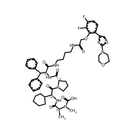 C[C@@H](C(=O)N[C@H](C(=O)N1CCC[C@H]1C(=O)N[C@H](C(=O)NCCCCNC(=O)COc1c(-c2csc(N3CCOCC3)n2)ccc(F)c1F)C(c1ccccc1)c1ccccc1)C1CCCCC1)N(C)C(=O)O